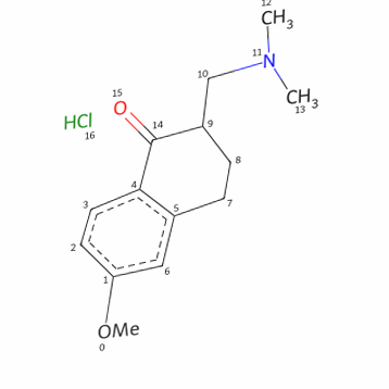 COc1ccc2c(c1)CCC(CN(C)C)C2=O.Cl